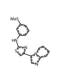 CSc1cccc(Nc2nc(-c3cnc4ccccn34)cs2)c1